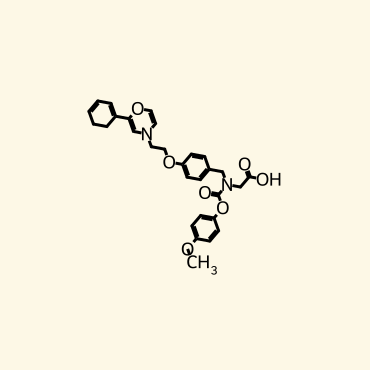 COc1ccc(OC(=O)N(CC(=O)O)Cc2ccc(OCCN3C=COC(C4=CC=CCC4)=C3)cc2)cc1